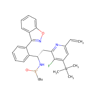 C=Cc1cc([Si](C)(C)C)c(F)c(C[C@H](N[S+]([O-])C(C)(C)C)c2ccccc2-c2noc3ccccc23)n1